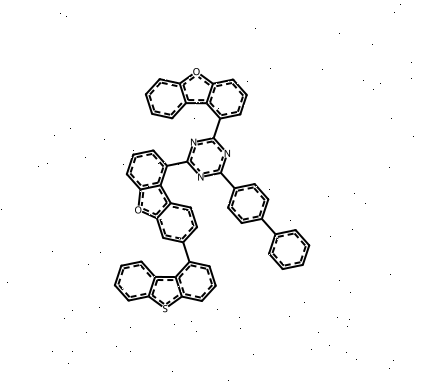 c1ccc(-c2ccc(-c3nc(-c4cccc5oc6ccccc6c45)nc(-c4cccc5oc6cc(-c7cccc8sc9ccccc9c78)ccc6c45)n3)cc2)cc1